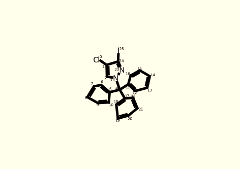 Clc1cn(C(c2ccccc2)(c2ccccc2)c2ccccc2)nc1I